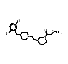 COCC(=O)N1CCCC(CCN2CCC(Cc3cc(Cl)ccc3Br)CC2)C1